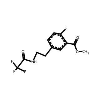 COC(=O)c1cc(CCNC(=O)C(F)(F)F)ccc1F